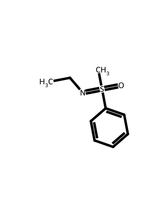 CCN=S(C)(=O)c1ccccc1